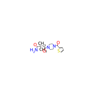 CC(C)([CH]C(=O)N1CCN(C(=O)c2cccs2)CC1)C(N)=O